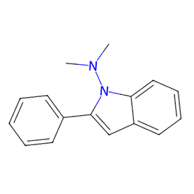 CN(C)n1c(-c2ccccc2)cc2ccccc21